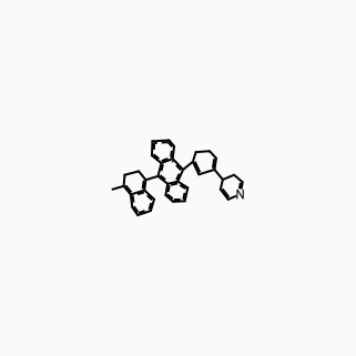 CC1=c2ccccc2=C(c2c3ccccc3c(C3=CC(C4C=CN=CC4)=CCC3)c3ccccc23)CC1